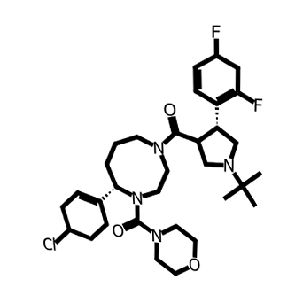 CC(C)(C)N1CC(C(=O)N2CCC[C@@H](C3=CCC(Cl)CC3)N(C(=O)N3CCOCC3)CC2)[C@H](C2=C(F)CC(F)C=C2)C1